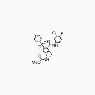 COC(=O)NC1CCc2c1cn(S(=O)(=O)c1ccc(C)cc1)c2C(=O)Nc1ccc(F)c(Cl)c1